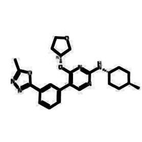 Cc1nnc(-c2cccc(-c3cnc(N[C@H]4CC[C@H](C)CC4)nc3O[C@@H]3CCOC3)c2)o1